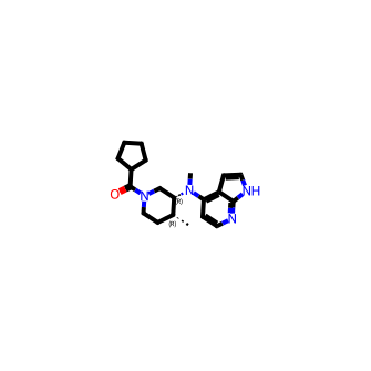 C[C@@H]1CCN(C(=O)C2CCCC2)C[C@@H]1N(C)c1ccnc2[nH]ccc12